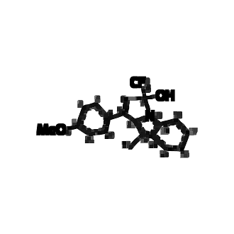 COc1ccc(C2=CC(O)(C(F)(F)F)n3c2c(C)c2ccccc23)cc1